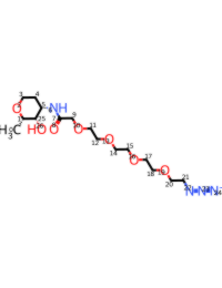 C[C@@H]1OCC[C@H](NC(=O)COCCOCCOCCOCCN=[N+]=[N-])[C@@H]1O